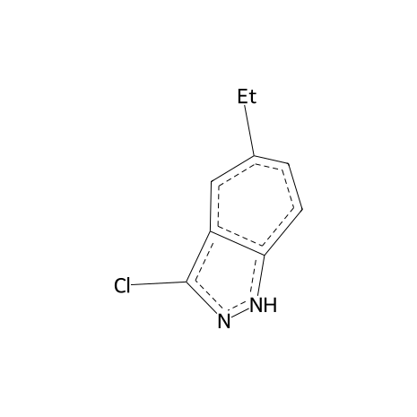 CCc1ccc2[nH]nc(Cl)c2c1